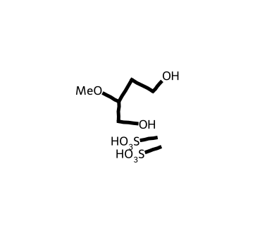 COC(CO)CCO.CS(=O)(=O)O.CS(=O)(=O)O